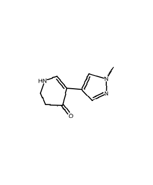 Cn1cc(C2=CNCCC2=O)cn1